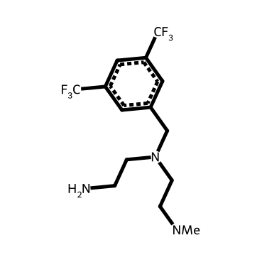 CNCCN(CCN)Cc1cc(C(F)(F)F)cc(C(F)(F)F)c1